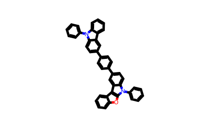 c1ccc(-n2c3ccccc3c3cc(-c4ccc(-c5ccc6c(c5)c5c7ccccc7oc5n6-c5ccccc5)cc4)ccc32)cc1